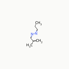 C=C(C)/C=N\N=C/CC